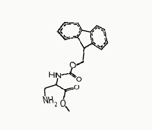 COC(=O)C(CN)NC(=O)OCC1c2ccccc2-c2ccccc21